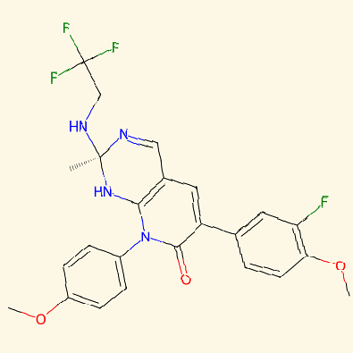 COc1ccc(-n2c3c(cc(-c4ccc(OC)c(F)c4)c2=O)C=N[C@](C)(NCC(F)(F)F)N3)cc1